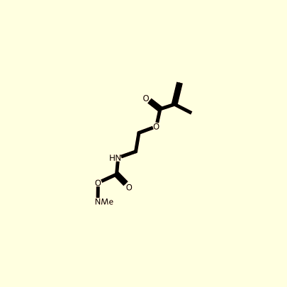 C=C(C)C(=O)OCCNC(=O)ONC